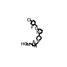 Cn1c(C=NO)cnc1CN1CCC(c2cccc(OCc3ccc(Cl)cc3F)n2)CC1